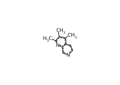 Cc1nc2cnccc2c(C)c1C